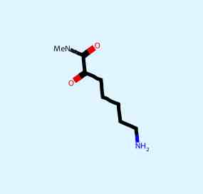 CNC(=O)C(=O)CCCCCN